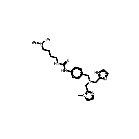 CCCN(CCC)CCCCNC(=S)Nc1ccc(CN(Cc2ncc[nH]2)Cc2nccn2C)cc1